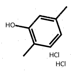 Cc1ccc(C)c(O)c1.Cl.Cl